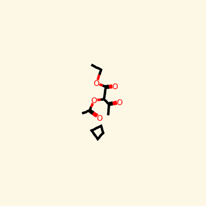 C1CCC1.CCOC(=O)C(OC(C)=O)C(C)=O